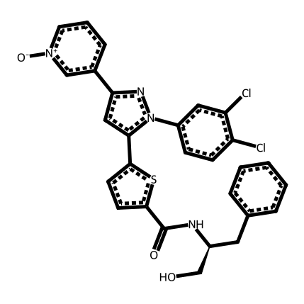 O=C(N[C@H](CO)Cc1ccccc1)c1ccc(-c2cc(-c3ccc[n+]([O-])c3)nn2-c2ccc(Cl)c(Cl)c2)s1